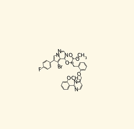 COC(=O)[C@@H](Cc1ccccc1OCc1ccnc(-c2ccccc2OC)n1)Oc1ncnn2cc(-c3ccc(F)cc3)c(Br)c12